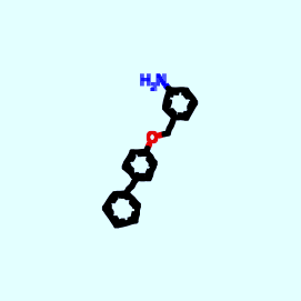 Nc1cccc(COc2ccc(-c3ccccc3)cc2)c1